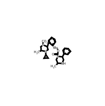 CC1CN(C(=O)O)C(c2ccccc2)CN1C1CC1.CC1CN(C(=O)OC(C)(C)C)C(c2ccccc2)CN1